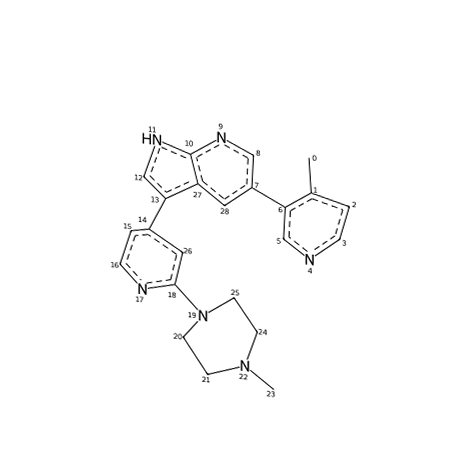 Cc1ccncc1-c1cnc2[nH]cc(-c3ccnc(N4CCN(C)CC4)c3)c2c1